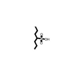 [CH2]CCC(CCC)S(=O)(=O)O